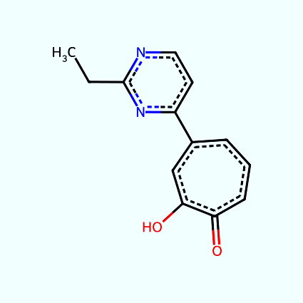 CCc1nccc(-c2cccc(=O)c(O)c2)n1